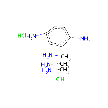 CN.CN.CN.Cl.Cl.Nc1ccc(N)cc1